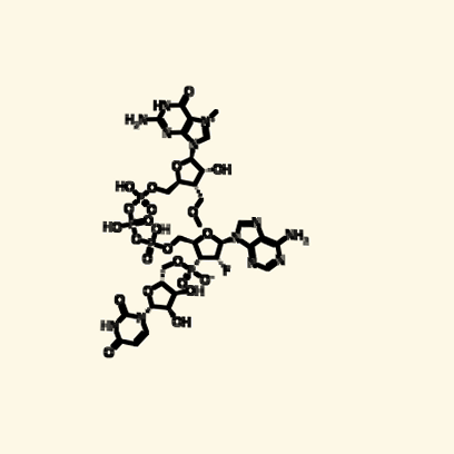 COC[C@H]1[C@@H](O)[C@H](n2c[n+](C)c3c(=O)[nH]c(N)nc32)O[C@@H]1COP(=O)(O)OP(=O)(O)OP(=O)(O)OC[C@H]1O[C@@H](n2cnc3c(N)ncnc32)[C@H](F)[C@@H]1P(=O)([O-])OC[C@H]1O[C@@H](n2ccc(=O)[nH]c2=O)[C@H](O)[C@@H]1O